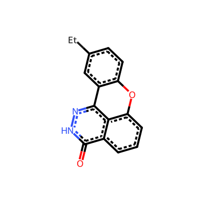 CCc1ccc2c(c1)-c1n[nH]c(=O)c3cccc(c13)O2